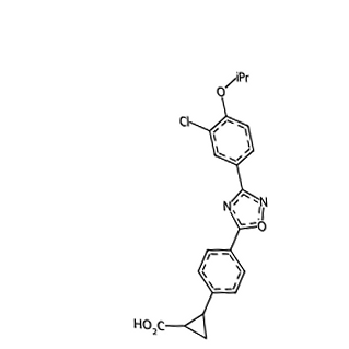 CC(C)Oc1ccc(-c2noc(-c3ccc(C4CC4C(=O)O)cc3)n2)cc1Cl